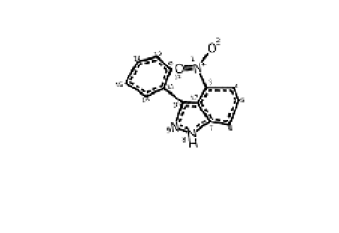 O=[N+]([O-])c1cccc2[nH]nc(-c3ccccc3)c12